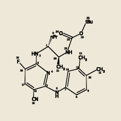 CCC[C@@H](Nc1nc(Nc2ccc(C)c(C)c2)c(C#N)cc1F)[C@H](C)NC(=O)OC(C)(C)C